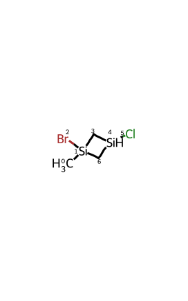 C[Si]1(Br)C[SiH](Cl)C1